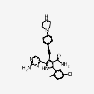 Cc1ccc(Cl)cc1-c1[nH]c(-c2ccnc(N)n2)c(C#Cc2ccc(N3CCNCC3)cc2)c1C(N)=O